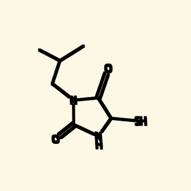 CC(C)CN1C(=O)NC(S)C1=O